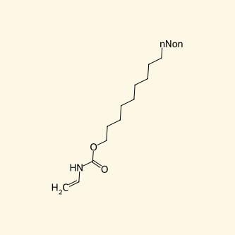 C=CNC(=O)OCCCCCCCCCCCCCCCCCC